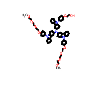 COCCOCCOCCOc1ccc(-n2c3ccccc3c3cc(N(c4ccc5c(c4)c4ccccc4n5-c4ccc(OCCO)cc4)c4ccc5c(c4)c4ccccc4n5-c4ccc(OCCOCCOCCOC)cc4)ccc32)cc1